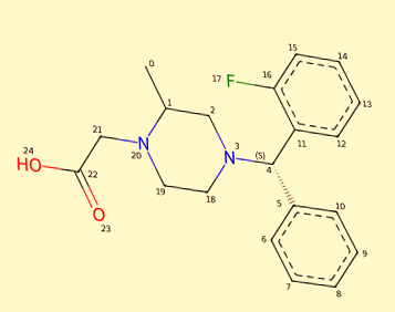 CC1CN([C@@H](c2ccccc2)c2ccccc2F)CCN1CC(=O)O